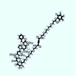 CC[C@H](C)[C@@H]([C@H](CC(=O)N1CCC[C@H]1[C@H](OC)[C@@H](C)C(=O)N[C@@H](Cc1ccccc1)C(=O)OC)OC)N(C)C(=O)[C@@H](NC(=O)[C@H](C(C)C)N(C)C(=O)CCOCCOCCOCCNC(=O)C#CC(=O)NCCOCCOCCOCCC(=O)Oc1c(F)c(F)c(F)c(F)c1F)C(C)C